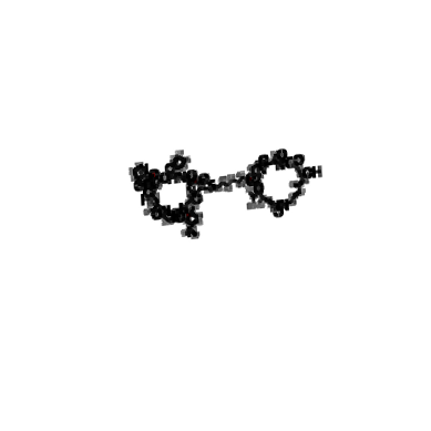 CCC1(C)NC(=O)[C@@H](NC(=O)c2ncccc2O)[C@@H](C)OC(=O)[C@H](c2ccccc2)NC(=O)[C@@H]2CC(=O)C(CSCCCCCCSC3CCN4C(=O)c5coc(n5)CC(=O)C[C@H](O)/C=C(C)/C=C/CNC(=O)/C=C/[C@@H](C)[C@@H](C(C)C)OC(=O)C34)CN2C(=O)[C@H](Cc2ccc(N(C)C)cc2)N(C)C(=O)[C@@H]2CCCN2C1=O